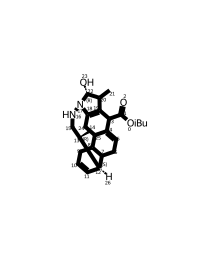 CC(C)COC(=O)C1C2=CCC3C4CC=C[C@H]3[C@@H](C)CNN3C(=C1C(C)[C@H]3O)CC24